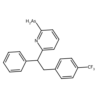 FC(F)(F)c1ccc(CC(c2ccccc2)c2cccc([AsH2])n2)cc1